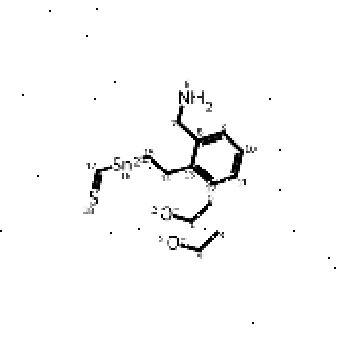 CC[O-].CC[O-].NCc1ccccc1C[CH2][Sn+2][CH]=S